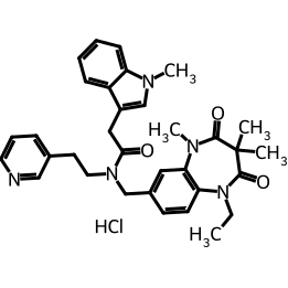 CCN1C(=O)C(C)(C)C(=O)N(C)c2cc(CN(CCc3cccnc3)C(=O)Cc3cn(C)c4ccccc34)ccc21.Cl